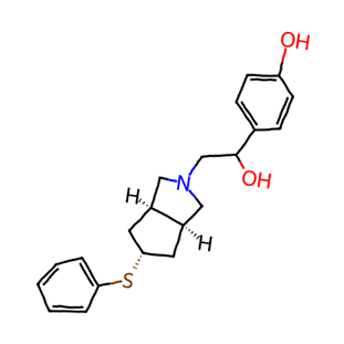 Oc1ccc(C(O)CN2C[C@H]3C[C@H](Sc4ccccc4)C[C@H]3C2)cc1